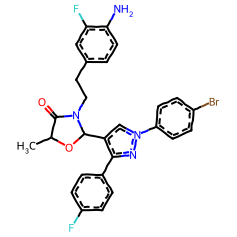 CC1OC(c2cn(-c3ccc(Br)cc3)nc2-c2ccc(F)cc2)N(CCc2ccc(N)c(F)c2)C1=O